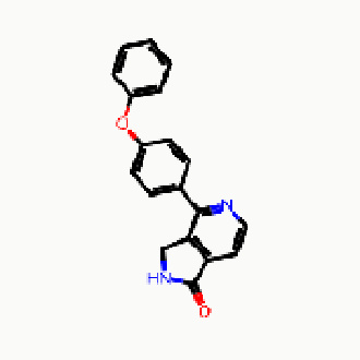 O=C1NCc2c1ccnc2-c1ccc(Oc2ccccc2)cc1